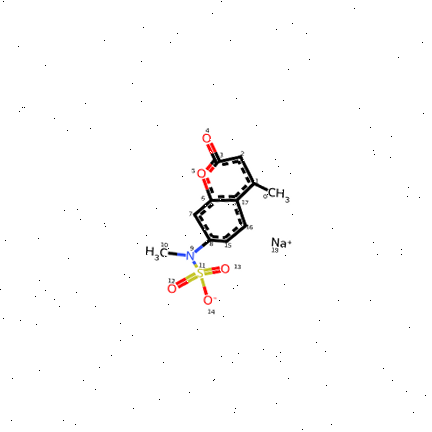 Cc1cc(=O)oc2cc(N(C)S(=O)(=O)[O-])ccc12.[Na+]